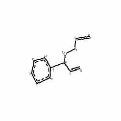 C=CCO[C](C=C)c1ccccc1